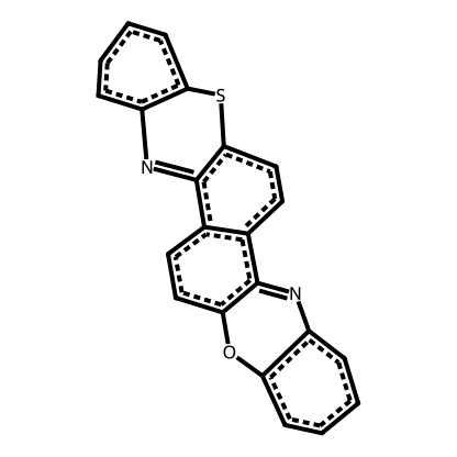 c1ccc2c(c1)N=c1c(ccc3c4c(ccc13)Sc1ccccc1N=4)O2